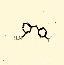 NCc1cccc(Cc2ccc(F)cc2)c1